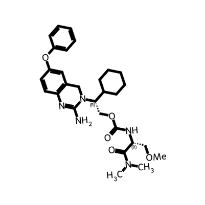 COC[C@@H](NC(=O)OC[C@@H](C1CCCCC1)N1Cc2cc(Oc3ccccc3)ccc2N=C1N)C(=O)N(C)C